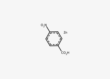 O=C(O)c1ccc([N+](=O)[O-])cc1.[Zn]